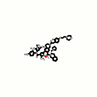 Cc1c(N(C(=O)c2cc(-c3cc4c(cc3C(=O)N3Cc5ccccc5C[C@H]3CN3CCCC3)CN(C(=O)Cc3ccc(OCCN5CCOCC5)cc3F)CC4)n(C)c2C)c2ccc(O)cc2)cc(C#N)n1C